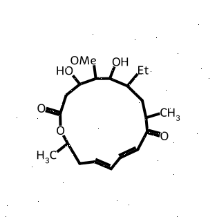 CCC1CC(C)C(=O)/C=C/C=C/CC(C)OC(=O)CC(O)C(OC)C1O